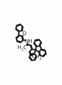 C=C(/C=C(\C=C/C)C1(c2ccccc2)c2ccccc2-c2ccccc21)Nc1cccc2c1oc1ccccc12